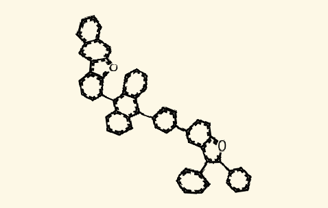 c1ccc(-c2oc3ccc(-c4ccc(-c5c6ccccc6c(-c6cccc7c6oc6cc8ccccc8cc67)c6ccccc56)cc4)cc3c2-c2ccccc2)cc1